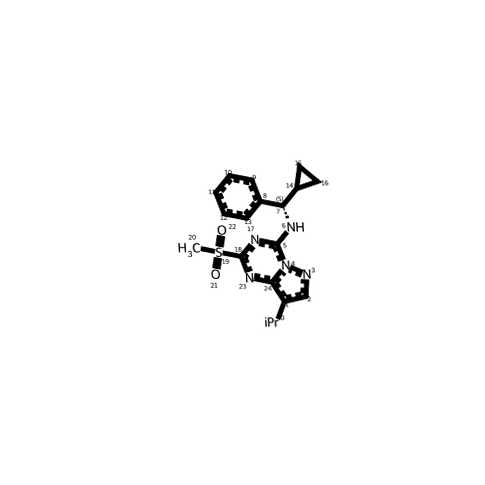 CC(C)c1cnn2c(N[C@H](c3ccccc3)C3CC3)nc(S(C)(=O)=O)nc12